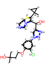 CC(C)(O)CCOc1ccc(-n2cc(C(O)c3c(C4(C)CC4)sc4cncn34)nn2)cc1Cl